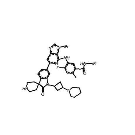 Cc1cc(F)c(Nc2nc(-c3ccc4c(c3)N(C3CC(N5CCCCC5)C3)C(=O)C43CCNCC3)cc3ncn(C(C)C)c23)cc1C(=O)NC(C)C